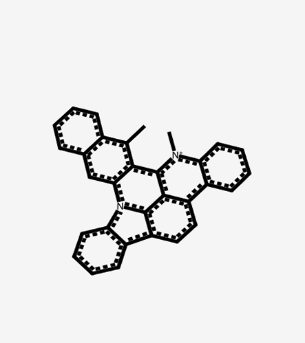 Cc1c2ccccc2cc2c1c1c3c(ccc4c5ccccc5n2c43)c2ccccc2[n+]1C